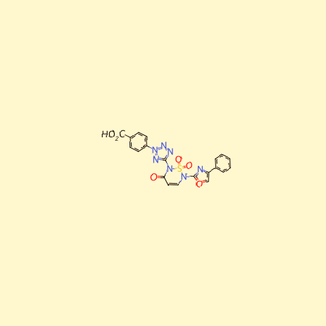 O=C(O)c1ccc(-n2nnc(N3C(=O)C=CN(c4nc(-c5ccccc5)co4)S3(=O)=O)n2)cc1